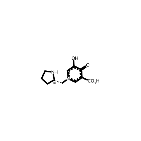 O=C(O)c1cn(C[C@@H]2CCCN2)cc(O)c1=O